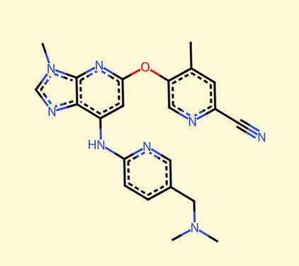 Cc1cc(C#N)ncc1Oc1cc(Nc2ccc(CN(C)C)cn2)c2ncn(C)c2n1